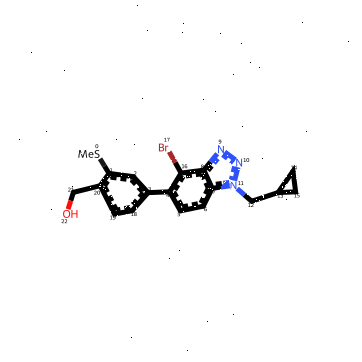 CSc1cc(-c2ccc3c(nnn3CC3CC3)c2Br)ccc1CO